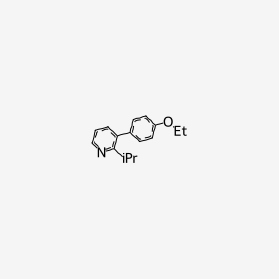 CCOc1ccc(-c2cccnc2C(C)C)cc1